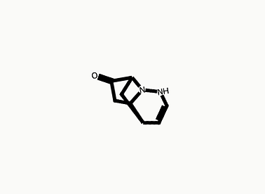 O=C1CC2C3C=CNN2C1C3